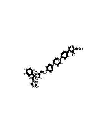 CCC(C)n1ncn(-c2ccc(N3CCN(c4ccc(OCC5COC(Cn6cncn6)(c6ccccc6)O5)cc4)CC3)cc2)c1=O